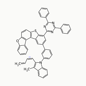 C=C/C=C\c1c(C)c2ccccc2n1-c1cccc(-c2cc(-c3nc(-c4ccccc4)nc(-c4ccccc4)n3)c3sc4ccc5oc6ccccc6c5c4c3c2)c1